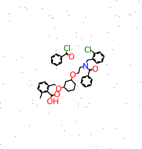 Cc1cccc(COC2CCCC(OCCN(Cc3ccccc3Cl)C(=O)c3ccccc3)C2)c1C(=O)O.O=C(Cl)c1ccccc1